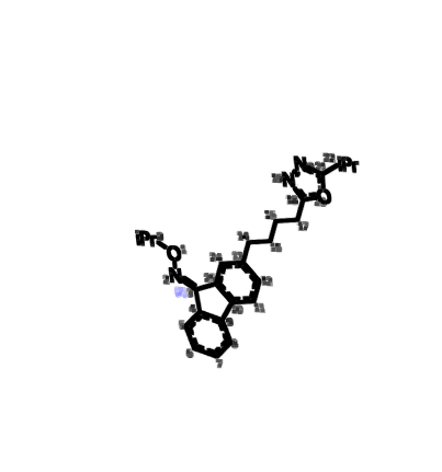 CC(C)O/N=C1/c2ccccc2-c2ccc(CCCCc3nnc(C(C)C)o3)cc21